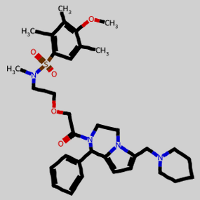 COc1c(C)cc(S(=O)(=O)N(C)CCOCC(=O)N2CCn3c(CN4CCCCC4)ccc3C2c2ccccc2)c(C)c1C